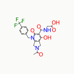 CC(=O)N1Cc2c(O)c(C(=O)NCC(=O)O)c(=O)n(Cc3ccc(C(F)(F)F)cc3)c2C1